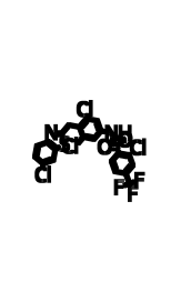 O=S(=O)(Nc1cc(Cl)c(Cc2nc3ccc(Cl)cc3s2)c(Cl)c1)c1ccc(C(F)(F)F)cc1Cl